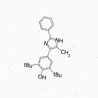 Cc1[nH]c(-c2ccccc2)nc1-c1cc(C(C)(C)C)c(O)c(C(C)(C)C)c1